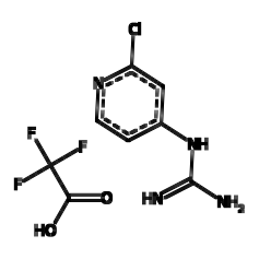 N=C(N)Nc1ccnc(Cl)c1.O=C(O)C(F)(F)F